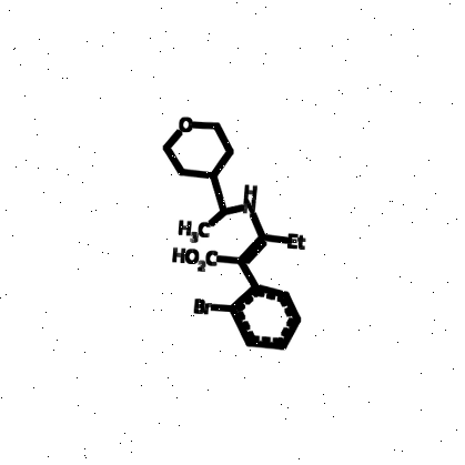 CCC(NC(C)C1CCOCC1)=C(C(=O)O)c1ccccc1Br